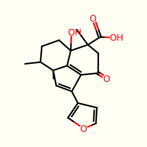 CC1CCC2(O)C3=C(C(=O)CC2(C)C(=O)O)C(c2ccoc2)=CC31C